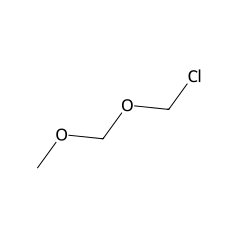 COCOCCl